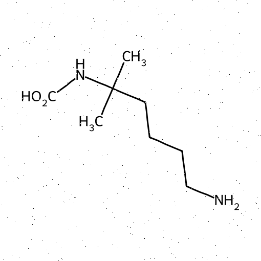 CC(C)(CCCCN)NC(=O)O